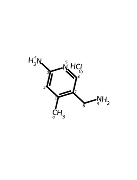 Cc1cc(N)ncc1CN.Cl